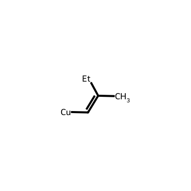 CC/C(C)=[CH]\[Cu]